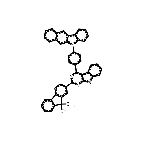 CC1(C)c2ccccc2-c2ccc(-c3nc(-c4ccc(-n5c6ccccc6c6cc7ccccc7cc65)cc4)c4c(n3)sc3ccccc34)cc21